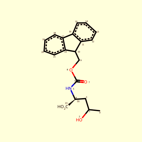 CC(O)C[C@H](NC(=O)OCC1c2ccccc2-c2ccccc21)C(=O)O